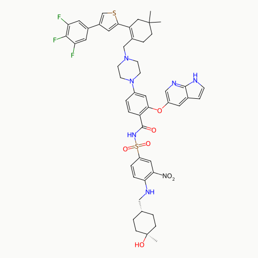 CC1(C)CCC(CN2CCN(c3ccc(C(=O)NS(=O)(=O)c4ccc(NC[C@H]5CC[C@](C)(O)CC5)c([N+](=O)[O-])c4)c(Oc4cnc5[nH]ccc5c4)c3)CC2)=C(c2cc(-c3cc(F)c(F)c(F)c3)cs2)C1